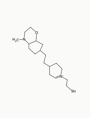 CN1CCOC2CC(CCC3CC=[N+](CCS)CC3)CCC21